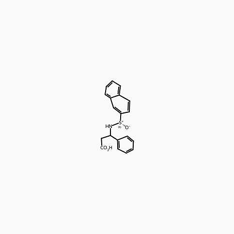 O=C(O)CC(N[S@@+]([O-])c1ccc2ccccc2c1)c1ccccc1